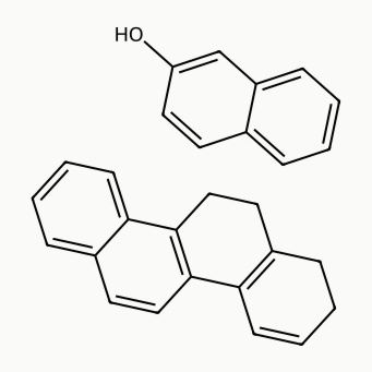 C1=CC2=C(CC1)CCc1c2ccc2ccccc12.Oc1ccc2ccccc2c1